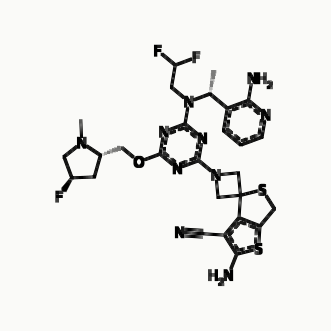 C[C@H](c1cccnc1N)N(CC(F)F)c1nc(OC[C@@H]2C[C@@H](F)CN2C)nc(N2CC3(C2)SCc2sc(N)c(C#N)c23)n1